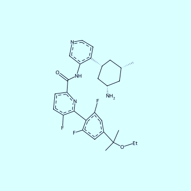 CCOC(C)(C)c1cc(F)c(-c2nc(C(=O)Nc3cnccc3[C@@H]3C[C@H](C)C[C@H](N)C3)ccc2F)c(F)c1